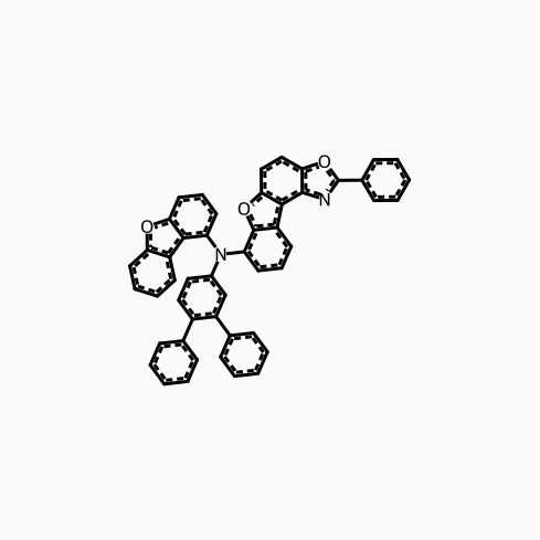 c1ccc(-c2nc3c(ccc4oc5c(N(c6ccc(-c7ccccc7)c(-c7ccccc7)c6)c6cccc7oc8ccccc8c67)cccc5c43)o2)cc1